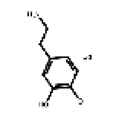 NCCc1ccc(O)c(O)c1.[Gd]